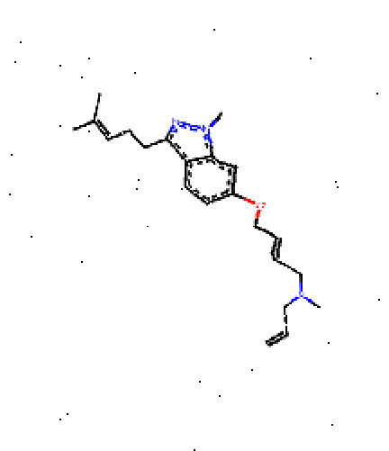 C=CCN(C)CC=CCOc1ccc2c(CCC=C(C)C)nn(C)c2c1